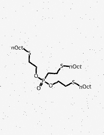 CCCCCCCCSCCOP(=O)(CCSCCCCCCCC)OCCSCCCCCCCC